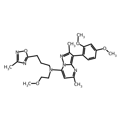 COCCN(CCCc1nc(C)no1)c1cc(C)nc2c(-c3ccc(OC)cc3OC)c(C)nn12